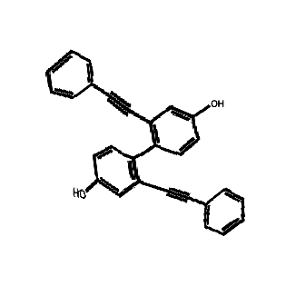 Oc1ccc(-c2ccc(O)cc2C#Cc2ccccc2)c(C#Cc2ccccc2)c1